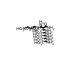 NC(=O)CC(N)C(=O)O.NCC(=O)O.NCC(=O)O.NCC(=O)O.NCC(=O)O.NCC(=O)O.NCC(=O)O.NCC(=O)O